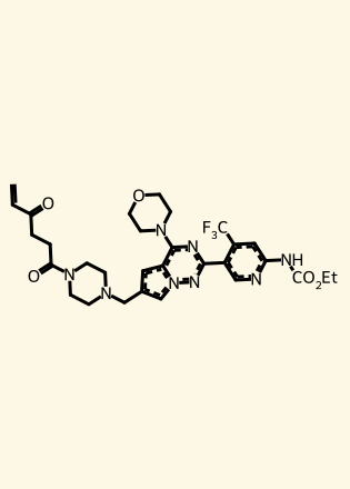 C=CC(=O)CCC(=O)N1CCN(Cc2cc3c(N4CCOCC4)nc(-c4cnc(NC(=O)OCC)cc4C(F)(F)F)nn3c2)CC1